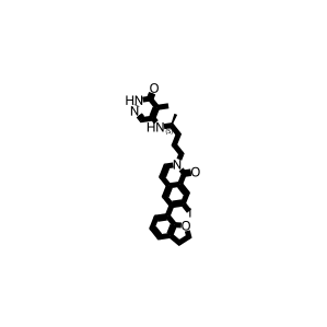 Cc1c(N[C@@H](C)CCCn2ccc3cc(-c4cccc5c4OCC5)c(I)cc3c2=O)cn[nH]c1=O